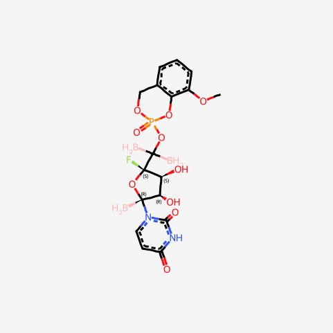 BC(B)(OP1(=O)OCc2cccc(OC)c2O1)[C@@]1(F)O[C@@](B)(n2ccc(=O)[nH]c2=O)[C@H](O)[C@@H]1O